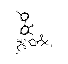 COCS(=O)(=O)N[C@H]1CCN(C(=O)C(C)(C)O)[C@H]1Cc1cccc(-c2cccc(F)c2)c1F